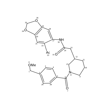 COCc1ccc(C(=O)N2CCCC(CC(=O)Nc3cc4c(cc3C(C)=O)OCO4)C2)cc1